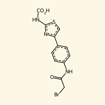 O=C(O)Nc1nc(-c2ccc(NC(=O)CBr)cc2)cs1